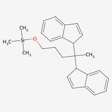 CC(CCCO[Si](C)(C)C)(C1C=Cc2ccccc21)C1C=Cc2ccccc21